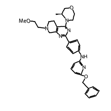 COCCN1CCc2c(nc(-c3ccc(Nc4cccc(OCc5ccccc5)n4)cc3)nc2N2CCOC[C@@H]2C)C1